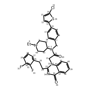 CCN1CCC(N(Cc2ccc(-c3ccc(Cl)s3)cc2)C(=O)Cn2c(CCc3cccc(F)c3F)nc(=O)c3ccccc32)CC1